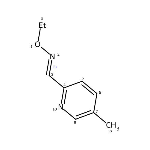 CCO/N=C/c1ccc(C)cn1